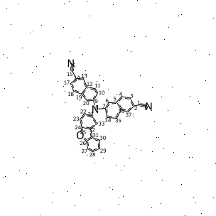 N#Cc1ccc2cc(N(c3ccc4cc(C#N)ccc4c3)c3ccc4oc5ccccc5c4c3)ccc2c1